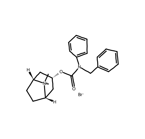 C[N+]1(C)[C@@H]2CC[C@H]1C[C@@H](OC(=O)N(Cc1ccccc1)c1ccccc1)C2.[Br-]